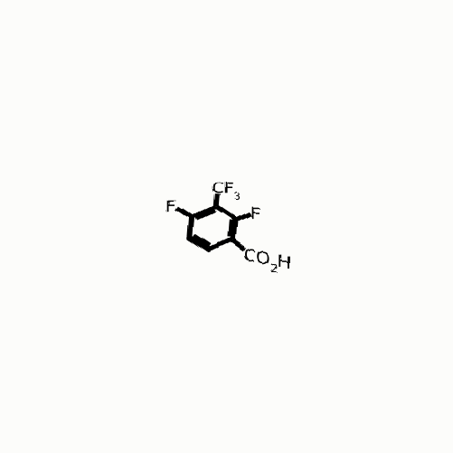 O=C(O)c1ccc(F)c(C(F)(F)F)c1F